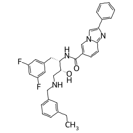 CCc1cccc(CNC[C@@H](O)[C@H](Cc2cc(F)cc(F)c2)NC(=O)c2ccc3nc(-c4ccccc4)cn3c2)c1